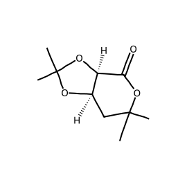 CC1(C)C[C@H]2OC(C)(C)O[C@H]2C(=O)O1